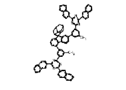 Cc1cc(-c2ccc3c(c2)C2(c4cccc(-c5cc(C)cc(-c6nc(-c7ccc8ccccc8c7)nc(-c7ccc8ccccc8c7)n6)c5)c4-3)C3CC4CC(C3)CC2C4)cc(-c2nc(-c3ccc4ccccc4c3)nc(-c3ccc4ccccc4c3)n2)c1